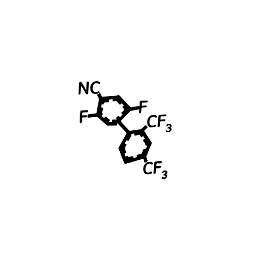 N#Cc1cc(F)c(-c2ccc(C(F)(F)F)cc2C(F)(F)F)cc1F